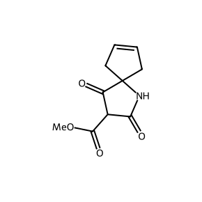 COC(=O)C1C(=O)NC2(CC=CC2)C1=O